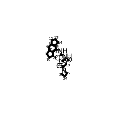 O=C(Nc1c2c(cc3c1CCC3)CCC2)NS(=O)(=O)CC(=O)N1CCC1